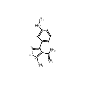 C=C(N)c1c(-c2cccc(NO)c2)nsc1N